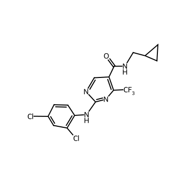 O=C(NCC1CC1)c1cnc(Nc2ccc(Cl)cc2Cl)nc1C(F)(F)F